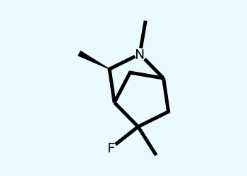 C[C@@H]1C2CC(CC2(C)F)N1C